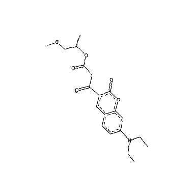 CCN(CC)c1ccc2cc(C(=O)CC(=O)OC(C)COC)c(=O)oc2c1